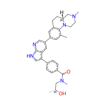 Cc1cc(-c2cnc3[nH]cc(-c4ccc(C(=O)N(C)C[C@@H](C)O)cc4)c3c2)cc2c1N1CCN(C)C[C@H]1CC2